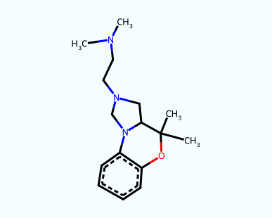 CN(C)CCN1CC2N(C1)c1ccccc1OC2(C)C